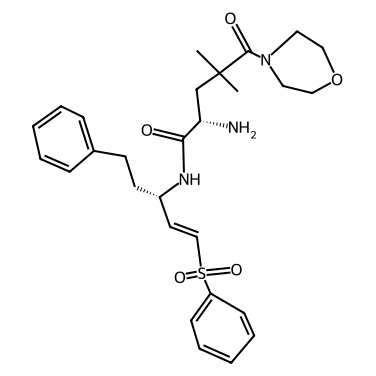 CC(C)(C[C@H](N)C(=O)N[C@H](/C=C/S(=O)(=O)c1ccccc1)CCc1ccccc1)C(=O)N1CCOCC1